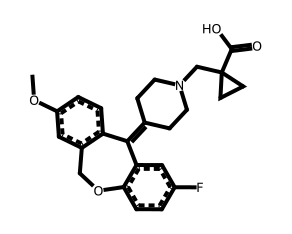 COc1ccc2c(c1)COc1ccc(F)cc1C2=C1CCN(CC2(C(=O)O)CC2)CC1